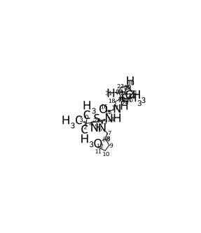 CC(C)(C)c1nn(C[C@H]2CCCO2)c(=NC(=O)NC[C@@H]2CC[C@H]3C[C@@H]2C3(C)C)s1